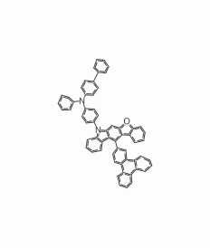 c1ccc(-c2ccc(N(c3ccccc3)c3ccc(-n4c5ccccc5c5c(-c6ccc7c8ccccc8c8ccccc8c7c6)c6c(cc54)oc4ccccc46)cc3)cc2)cc1